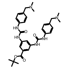 CN(C)Cc1ccc(NC(=O)Nc2cc(NC(=O)Nc3ccc(CN(C)C)cc3)cc(C(=O)OC(C)(C)C)c2)cc1